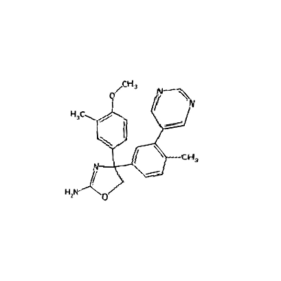 COc1ccc(C2(c3ccc(C)c(-c4cncnc4)c3)COC(N)=N2)cc1C